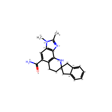 Cc1nc2c3c(c(C(N)=O)cc2n1C)CCC1(Cc2ccccc2C1)N3